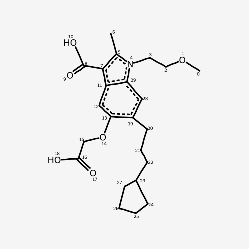 COCCn1c(C)c(C(=O)O)c2cc(OCC(=O)O)c(CCCC3CCCC3)cc21